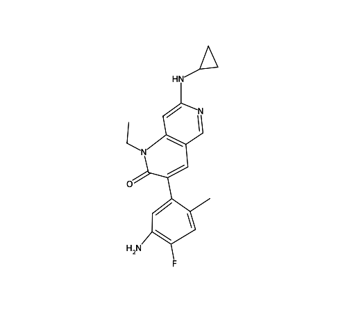 CCn1c(=O)c(-c2cc(N)c(F)cc2C)cc2cnc(NC3CC3)cc21